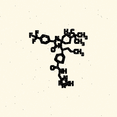 CCCC(c1ccc(C(=O)NCc2nn[nH]n2)cc1)N1C(=O)C(c2ccc(C(F)(F)F)cc2)=NC12CCC(C(C)(C)C)CC2